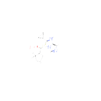 CC1(C)CCCC1C(O)[SH]1C(C2CC2)=Nc2cncn21